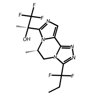 CCC(F)(F)c1nnc2n1C[C@H](C)n1c-2cnc1[C@@](C)(O)C(F)(F)F